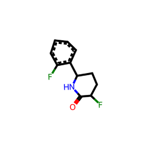 O=C1NC(c2ccccc2F)CCC1F